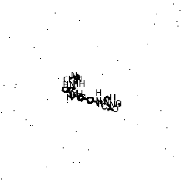 COC(=O)N[C@H](C(=O)N1CCC[C@H]1c1ncc(-c2ccc(-c3ccc(-c4cnc(C5C6CCC(C6)C5C(=O)NNc5nccnc5Cl)[nH]4)cc3)cc2)[nH]1)C(C)C